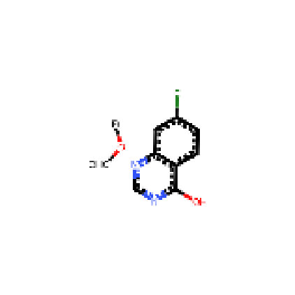 CCOC=O.Oc1ncnc2cc(Cl)ccc12